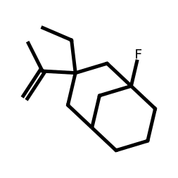 C=C(C)C1(CC)CC2CCCC(F)(C2)C1